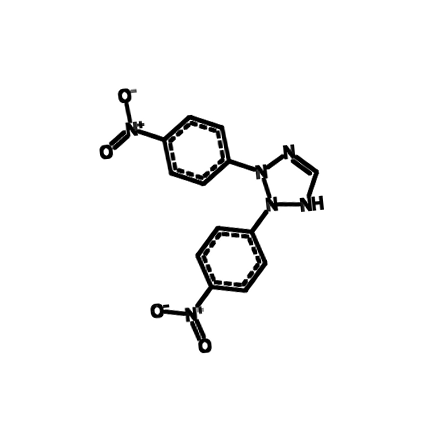 O=[N+]([O-])c1ccc(N2N=CNN2c2ccc([N+](=O)[O-])cc2)cc1